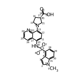 Cn1ccc2c(S(=O)(=O)Nc3ccc(N4CC[C@@H](C(=O)O)C4)c4ncccc34)cccc21